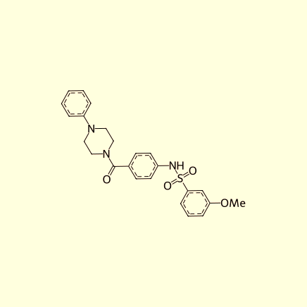 COc1cccc(S(=O)(=O)Nc2ccc(C(=O)N3CCN(c4ccccc4)CC3)cc2)c1